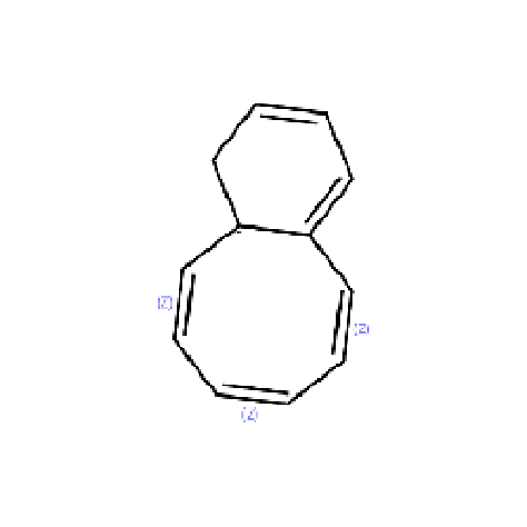 C1=CC[C]2\C=C/C=C\C=C/C2=C1